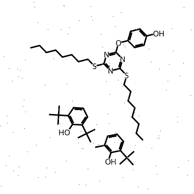 CC(C)(C)c1cccc(C(C)(C)C)c1O.CCCCCCCCSc1nc(Oc2ccc(O)cc2)nc(SCCCCCCCC)n1.Cc1cccc(C(C)(C)C)c1O